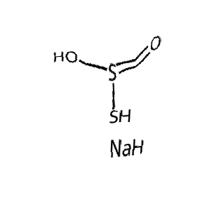 O=S(O)S.[NaH]